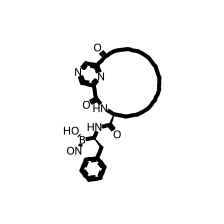 O=NB(O)[C@H](Cc1ccccc1)NC(=O)[C@@H]1CCCCCCCCCCCC(=O)c2cncc(n2)C(=O)N1